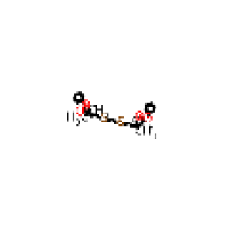 CC(C)(CCCSCCCSCCCC(C)(C)C(=O)Oc1ccccc1)CC(=O)Oc1ccccc1